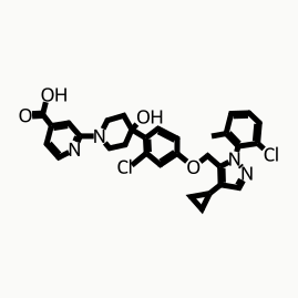 Cc1cccc(Cl)c1-n1ncc(C2CC2)c1COc1ccc(C2(O)CCN(c3cc(C(=O)O)ccn3)CC2)c(Cl)c1